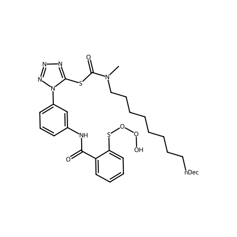 CCCCCCCCCCCCCCCCCCN(C)C(=O)Sc1nnnn1-c1cccc(NC(=O)c2ccccc2SOOO)c1